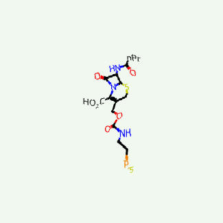 CCCC(=O)NC1C(=O)N2C(C(=O)O)=C(COC(=O)NCCP=S)CSC12